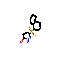 O=c1ccc(S(=O)(=O)c2cccc3ccccc23)n[nH]1